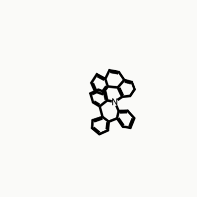 C1=c2ccc3ccccc3c2=C(N2c3ccccc3-c3ccccc3-c3ccccc32)CC1